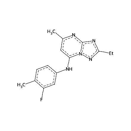 CCc1nc2nc(C)cc(Nc3ccc(C)c(F)c3)n2n1